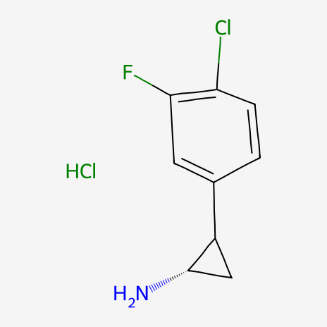 Cl.N[C@H]1CC1c1ccc(Cl)c(F)c1